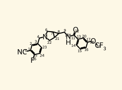 N#Cc1cc(CN2CC3C(CNC(=O)c4cccc(OC(F)(F)F)c4)C3C2)ccc1F